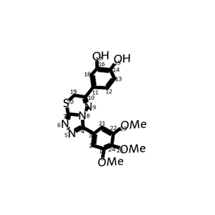 COc1cc(-c2nnc3n2N=C(c2ccc(O)c(O)c2)CS3)cc(OC)c1OC